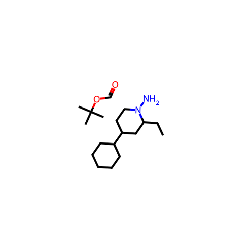 CC(C)(C)OC=O.CCC1CC(C2CCCCC2)CCN1N